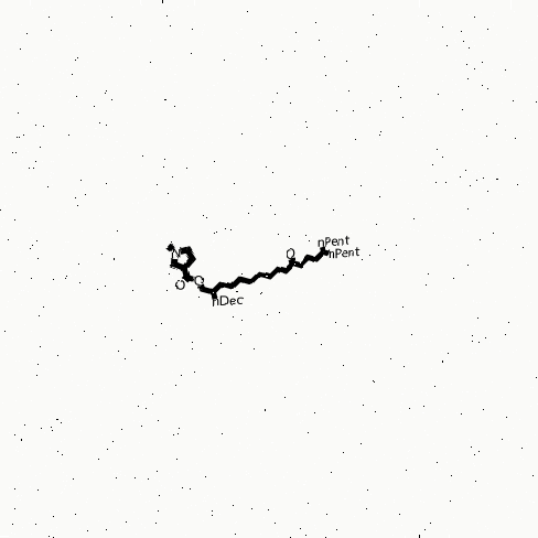 CCCCCCCCCCC(CCCCCCCCC(=O)CCCC(CCCCC)CCCCC)COC(=O)C1CCN(C)C1